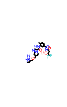 Cc1ccc(-c2noc(C[C@H](O)C(F)F)n2)cc1NC(=O)c1cnc2cc(COCc3ccn[nH]3)ccn12